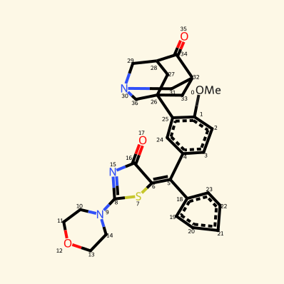 COc1ccc(C(=C2SC(N3CCOCC3)=NC2=O)c2ccccc2)cc1C12CC3CN(CC(C1)C3=O)C2